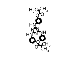 C=C(C)C(=O)Oc1cccc(Nc2nc(Nc3ccccc3)nc(Nc3cccc(OC(=O)C(=C)C)c3)n2)c1